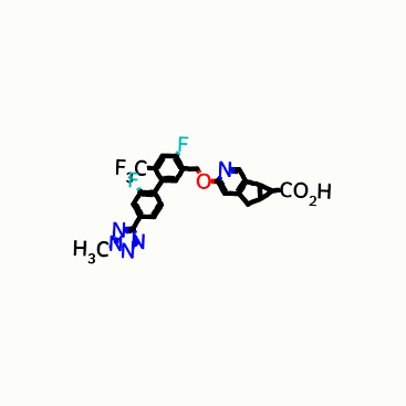 Cn1nnc(-c2ccc(-c3cc(COc4cc5c(cn4)C4C(C5)C4C(=O)O)c(F)cc3C(F)(F)F)c(F)c2)n1